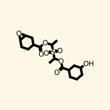 CC(OC(=O)C1CCCC(O)C1)S(=O)(=O)C(C)OC(=O)C1CCC2OC2C1